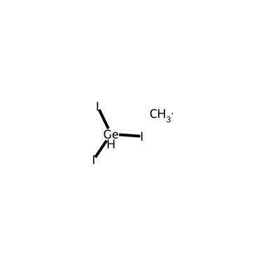 [CH3].[I][GeH]([I])[I]